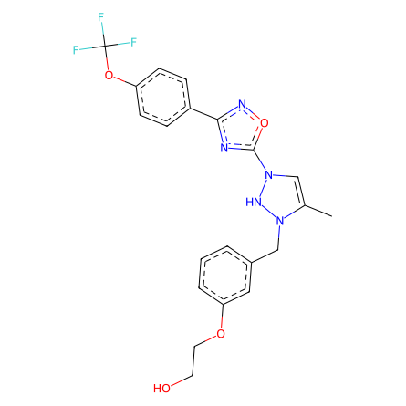 CC1=CN(c2nc(-c3ccc(OC(F)(F)F)cc3)no2)NN1Cc1cccc(OCCO)c1